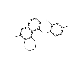 COc1cc2nccc(Oc3ccc(N)cc3F)c2c2c1OCCO2